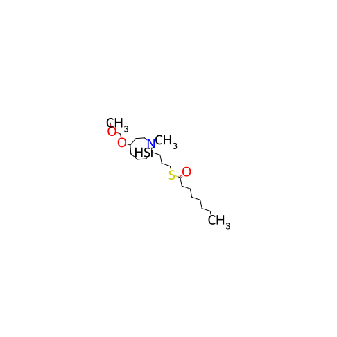 CCCCCCCC(=O)SCCC[SiH]1CCCC(OCOC)CCN1C